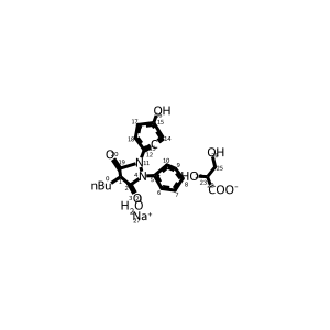 CCCCC1C(=O)N(c2ccccc2)N(c2ccc(O)cc2)C1=O.O.O=C([O-])C(O)CO.[Na+]